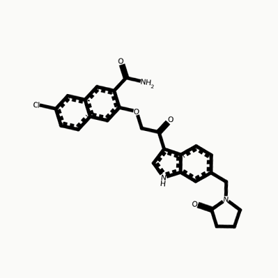 NC(=O)c1cc2cc(Cl)ccc2cc1OCC(=O)c1c[nH]c2cc(CN3CCCC3=O)ccc12